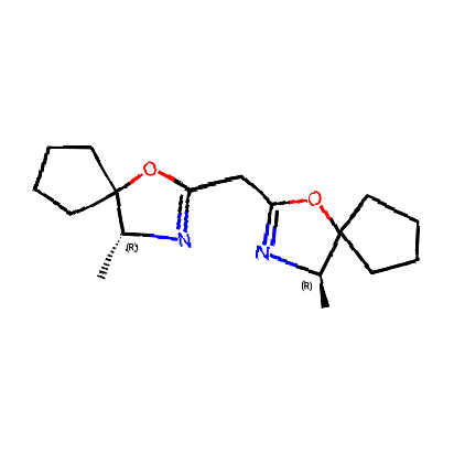 C[C@H]1N=C(CC2=N[C@H](C)C3(CCCC3)O2)OC12CCCC2